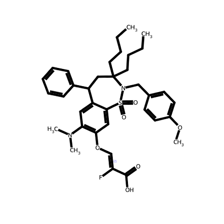 CCCCC1(CCCC)CC(c2ccccc2)c2cc(N(C)C)c(O/C=C(\F)C(=O)O)cc2S(=O)(=O)N1Cc1ccc(OC)cc1